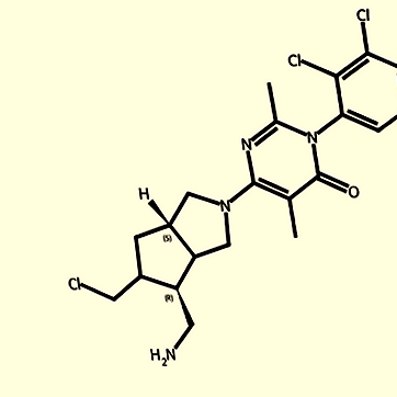 Cc1c(N2CC3[C@H](CC(CCl)[C@@H]3CN)C2)nc(C)n(-c2cccc(Cl)c2Cl)c1=O